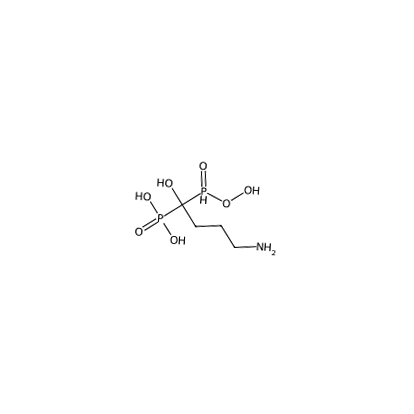 NCCCC(O)([PH](=O)OO)P(=O)(O)O